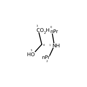 CCCNCCC.O=C(O)CO